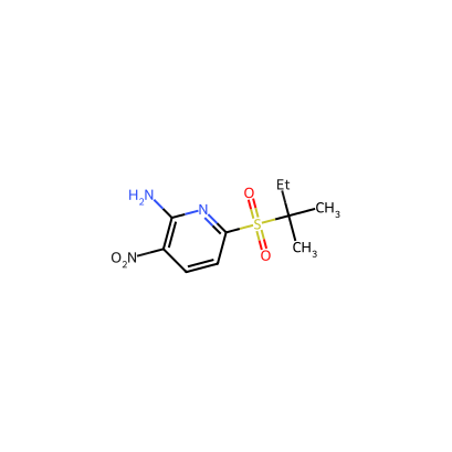 CCC(C)(C)S(=O)(=O)c1ccc([N+](=O)[O-])c(N)n1